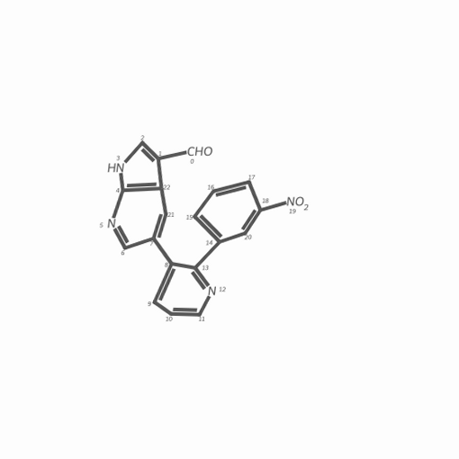 O=Cc1c[nH]c2ncc(-c3cccnc3-c3cccc([N+](=O)[O-])c3)cc12